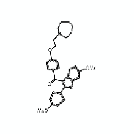 COc1ccc(-c2oc3cc(OC)ccc3c2C(=O)c2ccc(OCCN3CCCCCC3)cc2)cc1